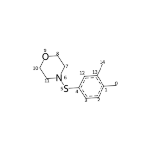 Cc1ccc(SN2CCOCC2)cc1C